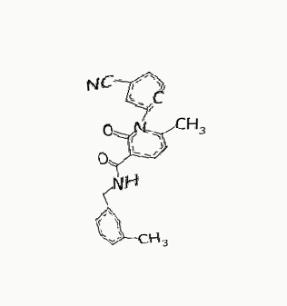 Cc1cccc(CNC(=O)c2ccc(C)n(-c3cccc(C#N)c3)c2=O)c1